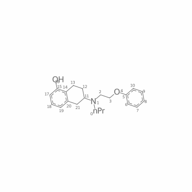 CCCN(CCOc1ccccc1)C1CCc2c(O)cccc2C1